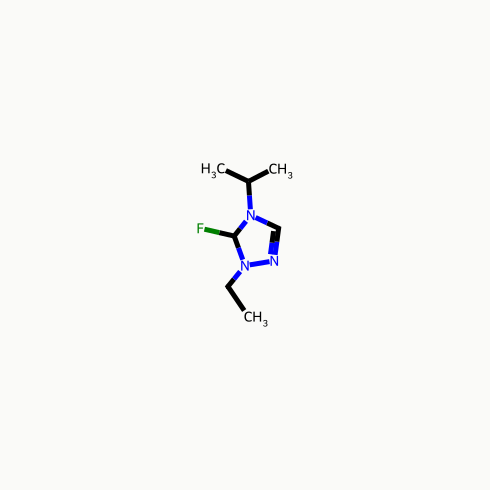 CCN1N=CN(C(C)C)C1F